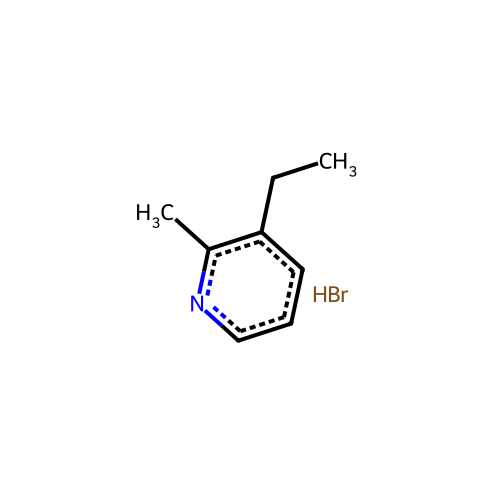 Br.CCc1cccnc1C